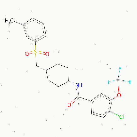 Cc1cccc(S(=O)(=O)C[C@H]2CC[C@@H](NC(=O)c3ccc(Cl)c(OC(F)(F)F)c3)CC2)c1